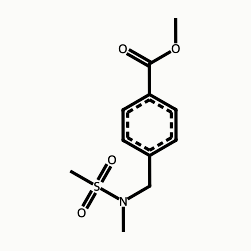 COC(=O)c1ccc(CN(C)S(C)(=O)=O)cc1